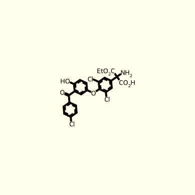 CCOC(=O)C(N)(C(=O)O)c1cc(Cl)c(Oc2ccc(O)c(C(=O)c3ccc(Cl)cc3)c2)c(Cl)c1